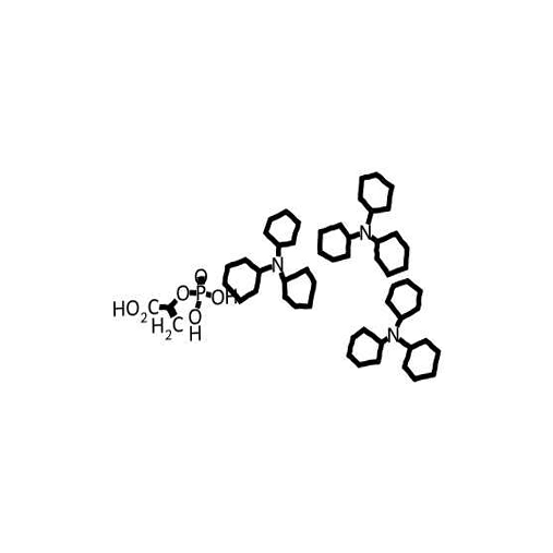 C1CCC(N(C2CCCCC2)C2CCCCC2)CC1.C1CCC(N(C2CCCCC2)C2CCCCC2)CC1.C1CCC(N(C2CCCCC2)C2CCCCC2)CC1.C=C(OP(=O)(O)O)C(=O)O